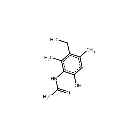 CCc1c(C)cc(O)c(NC(C)=O)c1C